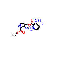 COC(=O)c1nccc(COC(=O)c2ncccc2N)c1N